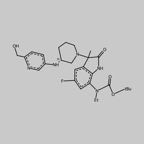 CCN(C(=O)OC(C)(C)C)c1cc(F)cc2c1NC(=O)C2(C)N1CCC[C@@H](Nc2ccc(CO)nc2)C1